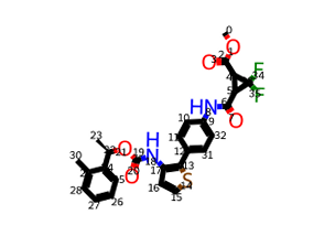 COC(=O)C1C(C(=O)Nc2ccc(-c3sccc3NC(=O)O[C@H](C)c3ccccc3C)cc2)C1(F)F